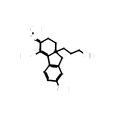 CCCCC12CC/C(=N\O)C(C)=C1c1ccc(O)cc1C2